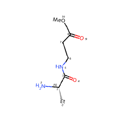 CC[C@H](N)C(=O)NCCC(=O)OC